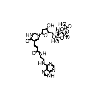 O=C(/C=C/C1=CN([C@H]2CC(O)[C@@H](COP(=O)(O)OP(=O)(O)OP(=O)(O)O)O2)CNC1=O)NCCNc1ncnc2[nH]cnc12